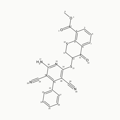 COC(=O)c1cccc2c1SCC(Sc1nc(N)c(C#N)c(-c3ccccc3)c1C#N)C2=O